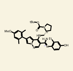 CCc1cc(O)ccc1/N=C(\N)c1cnn2cc(-c3c(C)cc(OC)cc3C)cc2c1NC[C@H]1CCCN1C(=O)OC(C)(C)C